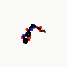 COC(=O)CSc1ncc(CNC(=O)c2ccc3c(c2)NC(=O)c2ccccc2S3(=O)=O)s1